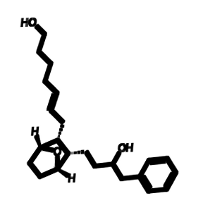 OCCCC/C=C/C[C@@H]1[C@H](CCC(O)Cc2ccccc2)[C@@H]2CC[C@H]1O2